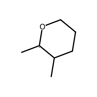 C[C]1OCCCC1C